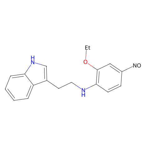 CCOc1cc(N=O)ccc1NCCc1c[nH]c2ccccc12